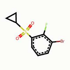 O=S(=O)(c1cccc(Br)c1F)C1CC1